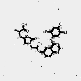 CC(Sc1cn(CC(=O)Nc2ccc3ncnc(Nc4cc(Cl)c(Cl)cc4F)c3c2)c(=S)s1)C(=O)O